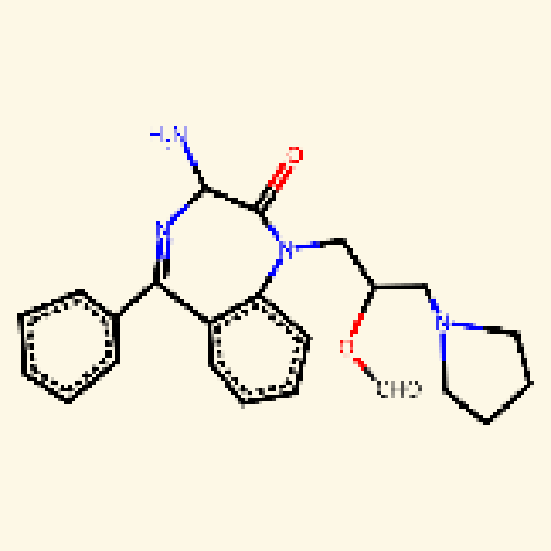 NC1N=C(c2ccccc2)c2ccccc2N(CC(CN2CCCC2)OC=O)C1=O